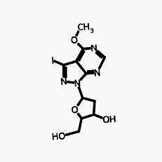 COc1ncnc2c1c(I)nn2C1CC(O)C(CO)O1